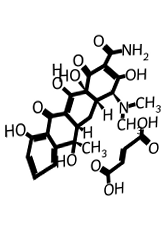 CN(C)[C@@H]1C(O)=C(C(N)=O)C(=O)[C@@]2(O)C(O)=C3C(=O)c4c(O)cccc4[C@@](C)(O)[C@H]3C[C@@H]12.O=C(O)C=CC(=O)O